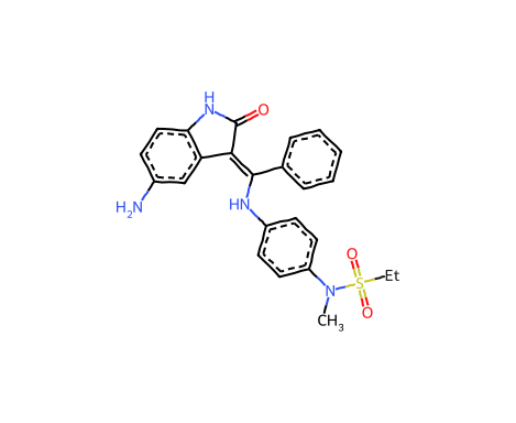 CCS(=O)(=O)N(C)c1ccc(NC(=C2C(=O)Nc3ccc(N)cc32)c2ccccc2)cc1